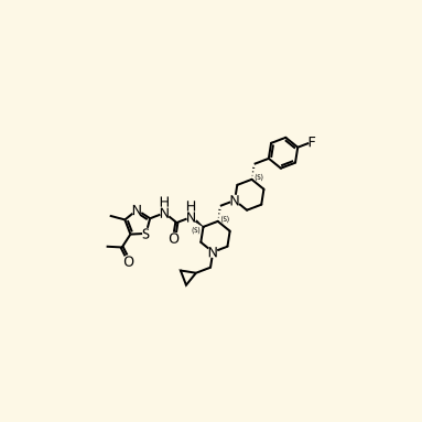 CC(=O)c1sc(NC(=O)N[C@@H]2CN(CC3CC3)CC[C@H]2CN2CCC[C@@H](Cc3ccc(F)cc3)C2)nc1C